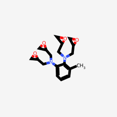 Cc1cccc(N(CC2CO2)CC2CO2)c1N(CC1CO1)CC1CO1